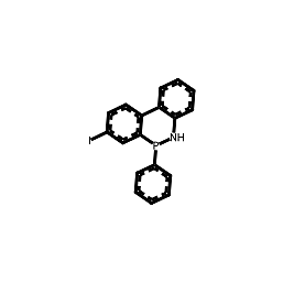 Ic1ccc2c(c1)P(c1ccccc1)Nc1ccccc1-2